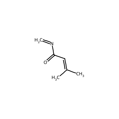 C=NC(=O)C=C(C)C